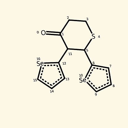 O=C1CCSC(c2ccc[se]2)C1c1ccc[se]1